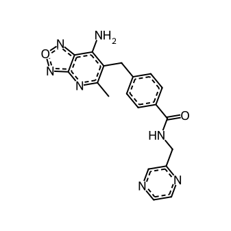 Cc1nc2nonc2c(N)c1Cc1ccc(C(=O)NCc2cnccn2)cc1